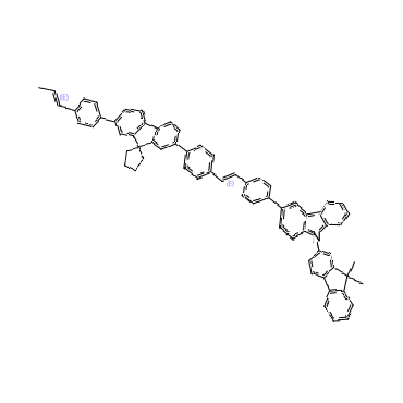 C/C=C/c1ccc(-c2ccc3c(c2)C2(CCCC2)c2cc(-c4ccc(/C=C/c5ccc(-c6ccc7c(c6)c6ccccc6n7-c6ccc7c(c6)C(C)(C)c6ccccc6-7)cc5)cc4)ccc2-3)cc1